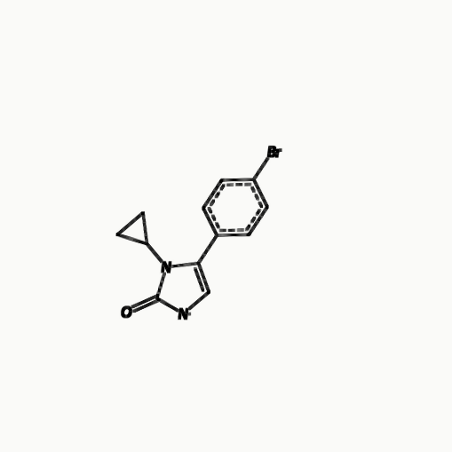 O=C1[N]C=C(c2ccc(Br)cc2)N1C1CC1